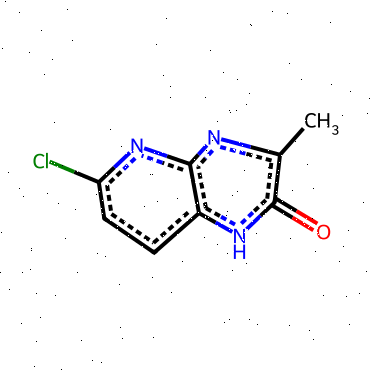 Cc1nc2nc(Cl)ccc2[nH]c1=O